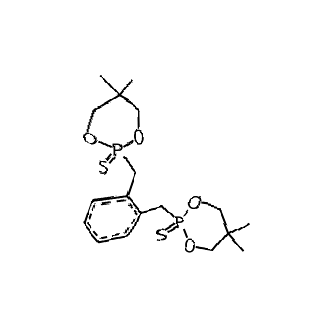 CC1(C)COP(=S)(Cc2ccccc2CP2(=S)OCC(C)(C)CO2)OC1